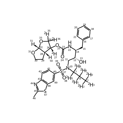 [2H]C([2H])([2H])C([2H])([2H])C([2H])([2H])N(C[C@@H](O)[C@H](Cc1ccccc1)NC(=O)O[C@]1([2H])[C@@H]2CCO[C@@H]2OC1([2H])[2H])S(=O)(=O)c1ccc2nc(C)sc2c1